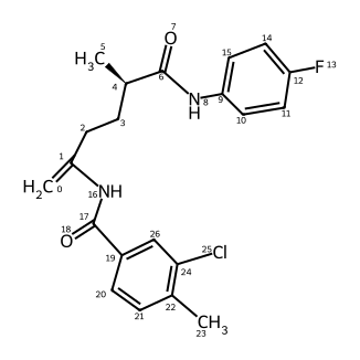 C=C(CC[C@@H](C)C(=O)Nc1ccc(F)cc1)NC(=O)c1ccc(C)c(Cl)c1